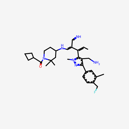 C/C=C(/C(C=N)=C/NC1CCN(C(=O)C2CCC2)C(C)(C)C1)c1c(CN)c(-c2ccc(CF)c(C)c2)nn1C